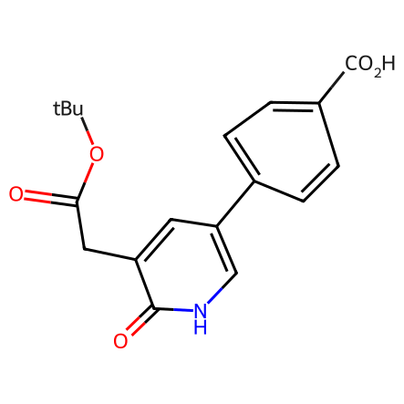 CC(C)(C)OC(=O)Cc1cc(-c2ccc(C(=O)O)cc2)c[nH]c1=O